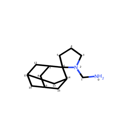 NCN1CCCC12C1CC3CC(C1)CC2C3